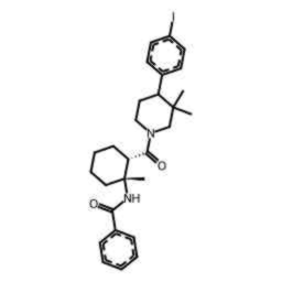 CC1(C)CN(C(=O)[C@H]2CCCC[C@@]2(C)NC(=O)c2ccccc2)CCC1c1ccc(I)cc1